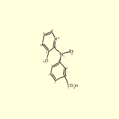 CCN(c1cccc(C(=O)O)c1)c1ncccc1Cl